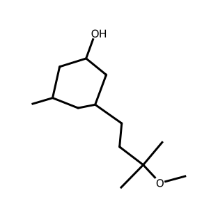 COC(C)(C)CCC1CC(C)CC(O)C1